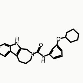 O=C(Nc1cccc(OC2CCCCC2)c1)N1CCCc2c([nH]c3ccccc23)C1